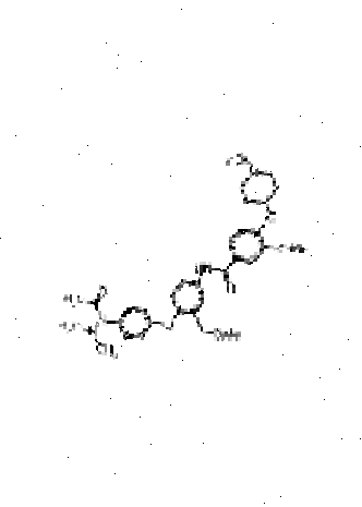 CCCCN1CCC(Oc2ccc(C(=O)Nc3ccc(Oc4ccc(N(C(N)=O)N(C)C)cc4)c(COC)c3)cc2OC)CC1